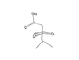 CC(C)S(=O)(=O)CS(=O)O